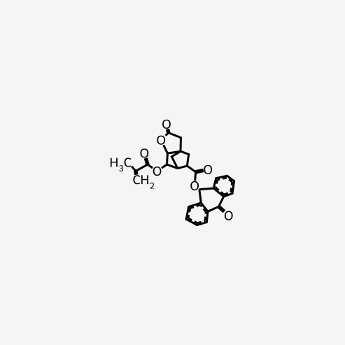 C=C(C)C(=O)OC1C2CC3(CC(=O)OC13)CC2C(=O)OC1c2ccccc2C(=O)c2ccccc21